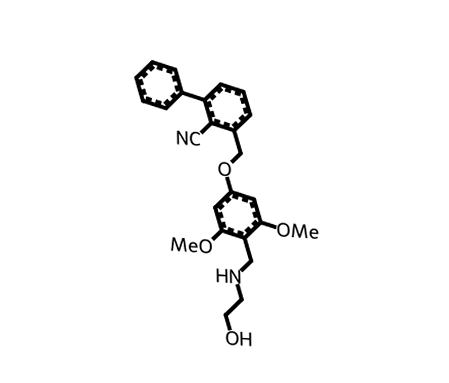 COc1cc(OCc2cccc(-c3ccccc3)c2C#N)cc(OC)c1CNCCO